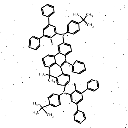 CC(C)(C)c1ccc(N(c2ccc3c(c2)C(C)(C)c2cccc4c2c-3c(-c2ccccc2)c2ccc(N(c3ccc(C(C)(C)C)cc3)c3cc(-c5ccccc5)cc(-c5ccccc5)c3F)cc24)c2cc(-c3ccccc3)cc(-c3ccccc3)c2F)cc1